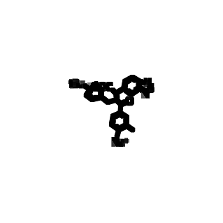 Cc1ccc(C(=O)C(Cc2ccc(C(C)(C)C)cc2)=C(C(=O)[O-])c2ccc3nsnc3c2)cc1C.[Na+]